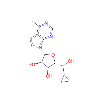 Cc1ncnc2c1ccn2[C@@H]1O[C@H](C(O)C2CC2)[C@@H](O)[C@H]1O